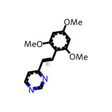 COc1cc(OC)c(/C=C/c2ccncn2)c(OC)c1